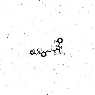 CN(Cc1ccco1)c1cccc(CCNC(=O)c2sc(-c3ccccc3F)nc2C(F)(F)F)c1